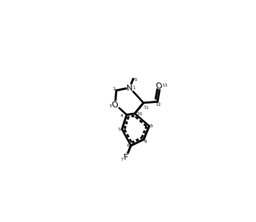 CN1COc2cc(F)ccc2C1C=O